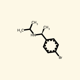 CC(C)N[C@@H](C)c1ccc(Br)cc1